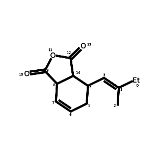 CCC(C)=CC1CC=CC2C(=O)OC(=O)C12